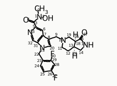 CN(O)C(=O)c1cc2c(CN3CC[C@@H]4CNC(=O)[C@@H]4C3)cn(Cc3ccc(F)cc3F)c2cn1